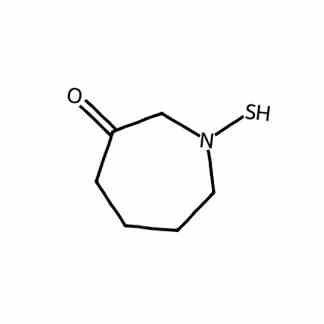 O=C1CCCCN(S)C1